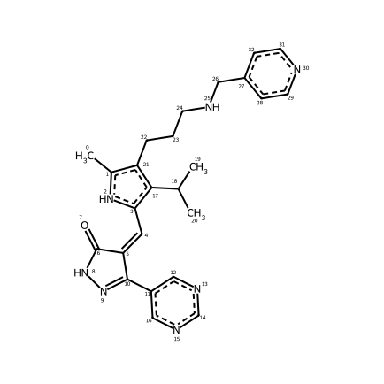 Cc1[nH]c(C=C2C(=O)NN=C2c2cncnc2)c(C(C)C)c1CCCNCc1ccncc1